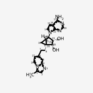 Cc1cnc2cc(CC[C@]34C[C@@H]3[C@@H](n3ccc5c(N)ncnc53)[C@H](O)[C@@H]4O)ccn12